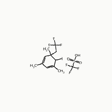 CC1=CC(C)(CC(F)(F)F)C(I)C(C)=C1.O=S(=O)(O)C(F)(F)F